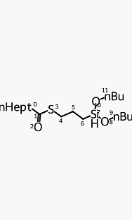 CCCCCCCC(=O)SCCC[SiH](OCCCC)OCCCC